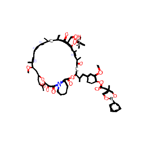 COC1CC2CCC(C)C(O)(O2)C(=O)C(=O)N2CCCCC2C(=O)OC(C(C)CC2CCC(OC(=O)C3(C)COB(c4ccccc4)OC3)C(OC)C2)CC(=O)C(C)/C=C(\C)C(O[Si](C)(C)C)C(CO)C(=O)C(C)CC(C)/C=C/C=C/C=C/1C